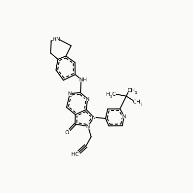 C#CCn1c(=O)c2cnc(Nc3ccc4c(c3)CNCC4)nc2n1-c1ccnc(C(C)(C)C)c1